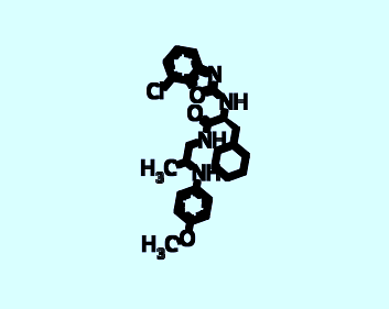 COc1ccc(NC(C)CNC(=O)[C@H](CC2CCCCC2)Nc2nc3cccc(Cl)c3o2)cc1